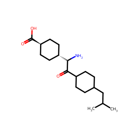 CC(C)CC1CCC(C(=O)C(N)[C@H]2CC[C@H](C(=O)O)CC2)CC1